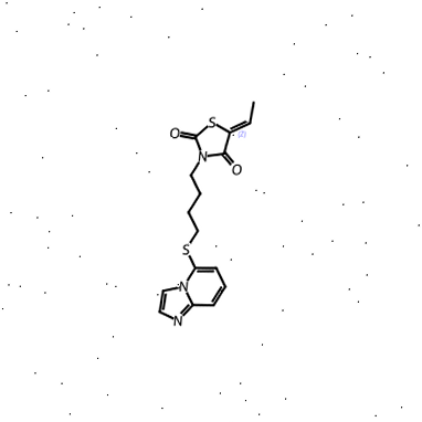 C/C=C1\SC(=O)N(CCCCSc2cccc3nccn23)C1=O